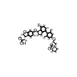 Cc1cc(OCCN2CCCS2(=O)=O)cc(C)c1-c1ccc(F)c2c1CCC2Oc1ccc2c(c1)OC[C@H]2CC(=O)O